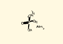 O=P(O)(O)O.[AlH3].[Zr]